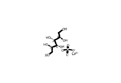 O=S(=O)([O-])[O-].OC[C@@H](O)[C@@H](O)[C@H](O)[C@H](O)CO.[Ca+2]